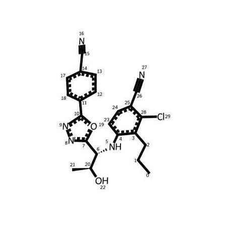 CCCc1c(N[C@@H](c2nnc(-c3ccc(C#N)cc3)o2)[C@H](C)O)ccc(C#N)c1Cl